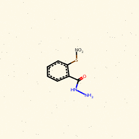 NNC(=O)c1ccccc1S[N+](=O)[O-]